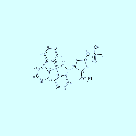 CCOC(=O)[C@@H]1CC(OS(C)(=O)=O)C[C@H]1COC(c1ccccc1)(c1ccccc1)c1ccccc1